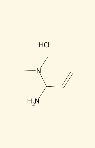 C=CC(N)N(C)C.Cl